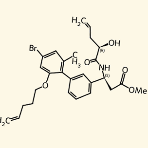 C=CCCCOc1cc(Br)cc(C)c1-c1cccc([C@H](CC(=O)OC)NC(=O)[C@H](O)CC=C)c1